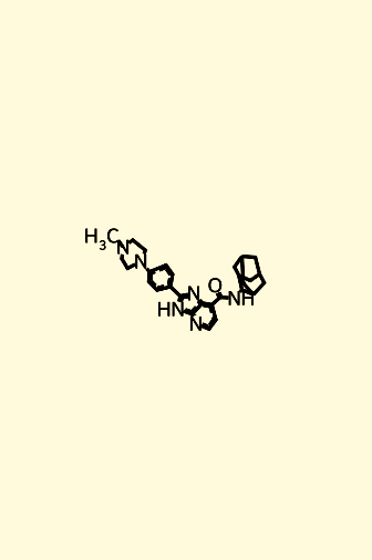 CN1CCN(c2ccc(-c3nc4c(C(=O)NC5C6CC7CC(C6)CC5C7)ccnc4[nH]3)cc2)CC1